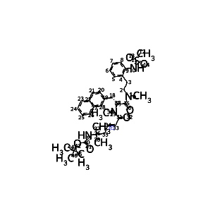 CN(CCc1ccccc1NS(C)(=O)=O)C(=O)[C@@H](Cc1ccc2ccccc2c1)N(C)C(=O)/C=C/CC(C)(C)NC(=O)OC(C)(C)C